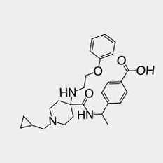 CC(NC(=O)C1(NCCOc2ccccc2)CCN(CC2CC2)CC1)c1ccc(C(=O)O)cc1